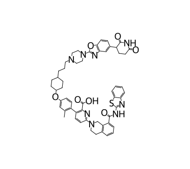 Cc1cc(OC2CCC(CCCN3CCN(c4nc5cc(C6CCC(=O)NC6=O)ccc5o4)CC3)CC2)ccc1-c1ccc(N2CCc3cccc(C(=O)Nc4nc5ccccc5s4)c3C2)nc1C(=O)O